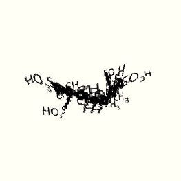 Cc1cc(S(=O)(=O)O)ccc1N=Nc1cc(OCCCCS(=O)(=O)O)c(N=Nc2cc(C)c(NC(=O)Nc3cc(C)c(N=Nc4cc(C)c(N=Nc5ccc(S(=O)(=O)O)cc5C)cc4OCCCCS(=O)(=O)O)cc3C)cc2C)cc1C